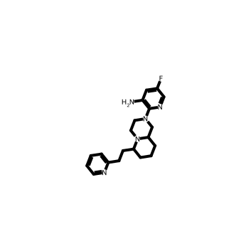 Nc1cc(F)cnc1N1CCN2C(CCc3ccccn3)CCCC2C1